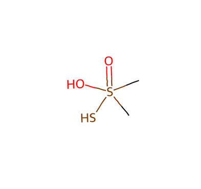 CS(C)(=O)(O)S